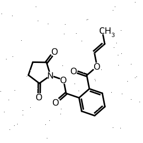 CC=COC(=O)c1ccccc1C(=O)ON1C(=O)CCC1=O